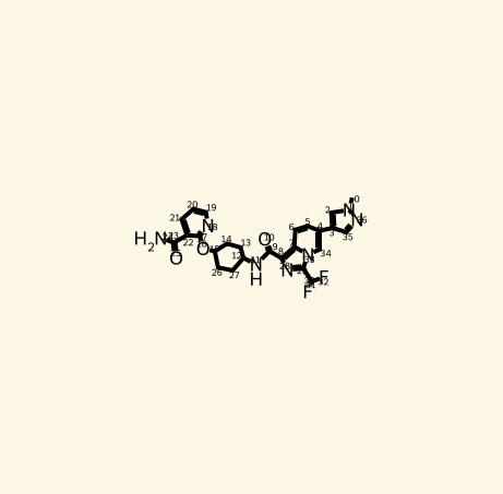 Cn1cc(-c2ccc3c(C(=O)NC4CCC(Oc5ncccc5C(N)=O)CC4)nc(C(F)F)n3c2)cn1